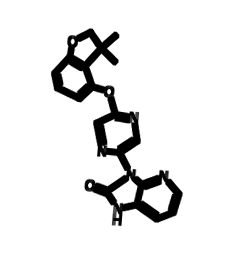 CC1(C)COc2cccc(Oc3cnc(-n4c(=O)[nH]c5cccnc54)cn3)c21